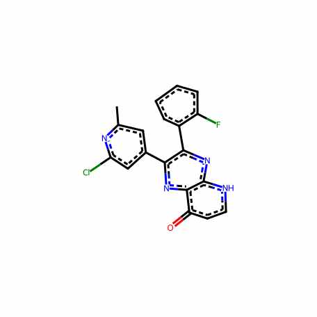 Cc1cc(-c2nc3c(=O)cc[nH]c3nc2-c2ccccc2F)cc(Cl)n1